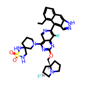 CCc1cccc2cc3[nH]ncc3c(-c3ncc4c(N5CCCC6(CNS(=O)(=O)N6)C5)nc(OC[C@@]56CCCN5C[C@H](F)C6)nc4c3F)c12